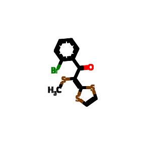 CSC(C(=O)c1ccccc1Br)=C1SC=CS1